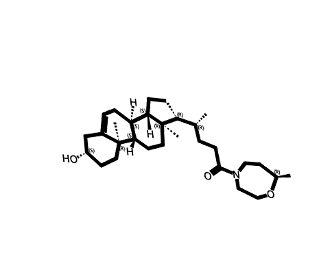 C[C@@H]1CCN(C(=O)CC[C@@H](C)[C@H]2CC[C@H]3[C@@H]4CC=C5C[C@@H](O)CC[C@]5(C)[C@H]4CC[C@]23C)CCO1